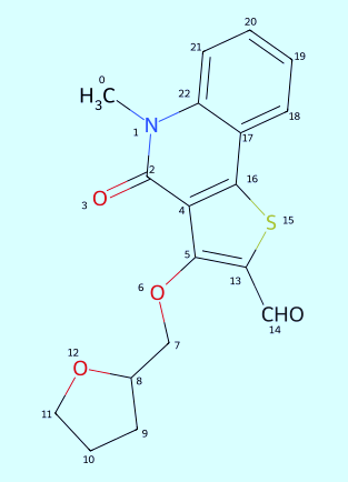 Cn1c(=O)c2c(OCC3CCCO3)c(C=O)sc2c2ccccc21